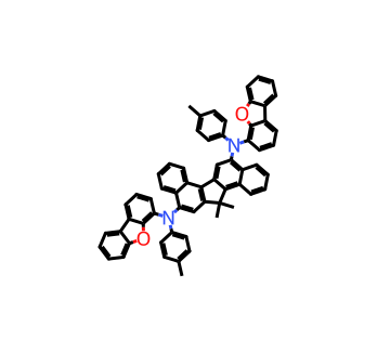 Cc1ccc(N(c2cc3c(c4ccccc24)-c2cc(N(c4ccc(C)cc4)c4cccc5c4oc4ccccc45)c4ccccc4c2C3(C)C)c2cccc3c2oc2ccccc23)cc1